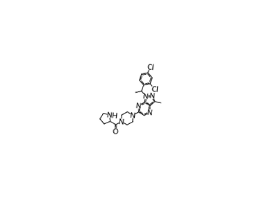 Cc1nn(C(C)c2ccc(Cl)cc2Cl)c2nc(N3CCN(C(=O)C4CCCN4)CC3)cnc12